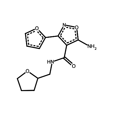 Nc1onc(-c2ccco2)c1C(=O)NCC1CCCO1